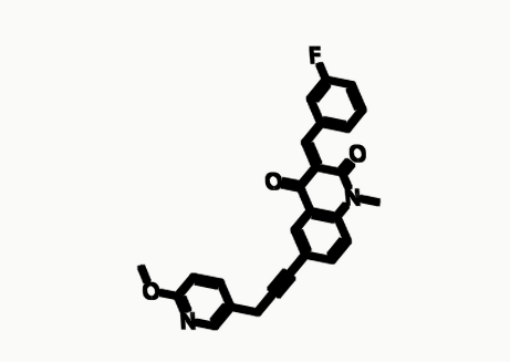 COc1ccc(CC#Cc2ccc3c(c2)C(=O)/C(=C/c2cccc(F)c2)C(=O)N3C)cn1